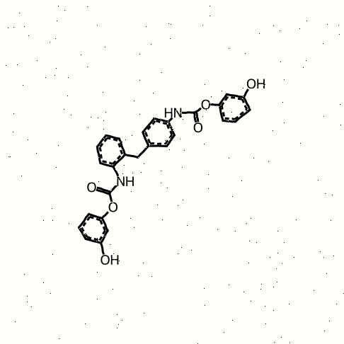 O=C(Nc1ccc(Cc2ccccc2NC(=O)Oc2cccc(O)c2)cc1)Oc1cccc(O)c1